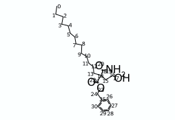 CCCCCCCCCCCCCCC(CCO)(C(N)=O)C(=O)OCc1ccccc1